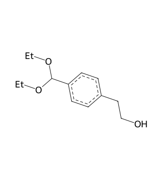 CCOC(OCC)c1ccc(CCO)cc1